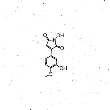 COc1ccc(C2=CC(=O)N(O)C2=O)cc1O